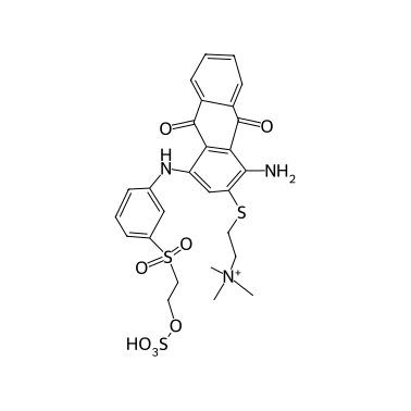 C[N+](C)(C)CCSc1cc(Nc2cccc(S(=O)(=O)CCOS(=O)(=O)O)c2)c2c(c1N)C(=O)c1ccccc1C2=O